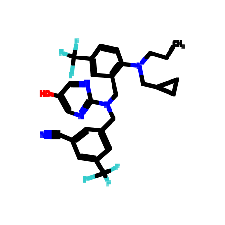 CCCN(CC1CC1)c1ccc(C(F)(F)F)cc1CN(Cc1cc(C#N)cc(C(F)(F)F)c1)c1ncc(O)cn1